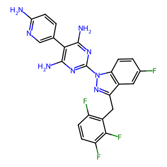 Nc1ccc(-c2c(N)nc(-n3nc(Cc4c(F)ccc(F)c4F)c4cc(F)ccc43)nc2N)cn1